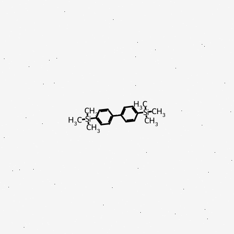 C[Si](C)(C)c1ccc(-c2ccc([Si](C)(C)C)cc2)cc1